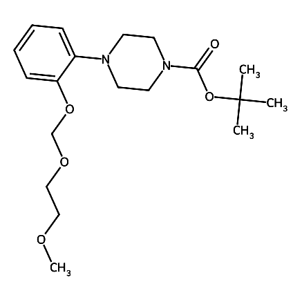 COCCOCOc1ccccc1N1CCN(C(=O)OC(C)(C)C)CC1